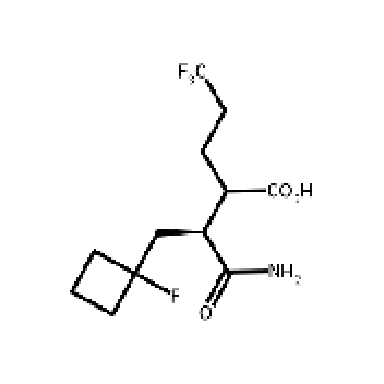 NC(=O)[C@@H](CC1(F)CCC1)C(CCC(F)(F)F)C(=O)O